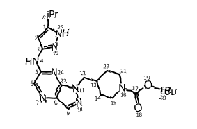 CC(C)c1cc(Nc2cnc3cnn(CC4CCN(C(=O)OC(C)(C)C)CC4)c3n2)n[nH]1